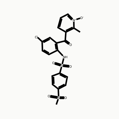 Cc1c(C(=O)c2cc(Cl)ccc2NS(=O)(=O)c2ccc(S(C)(=O)=O)cc2)ccc[n+]1[O-]